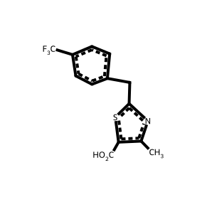 Cc1nc(Cc2ccc(C(F)(F)F)cc2)sc1C(=O)O